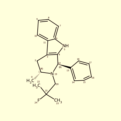 C[C@@H]1Cc2c([nH]c3ccccc23)[C@@H](c2cc[c]cc2)N1CC(C)(C)F